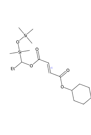 CCC(OC(=O)/C=C/C(=O)OC1CCCCC1)[Si](C)(C)O[Si](C)(C)C